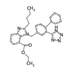 CCCCc1nc2cccc(C(=O)OCC)c2n1Cc1ccc(-c2ccccc2)c(-c2nnn[nH]2)c1